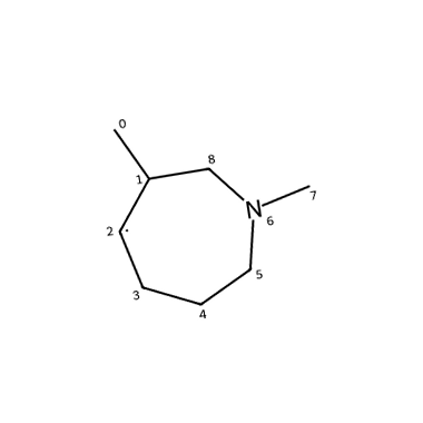 CC1[CH]CCCN(C)C1